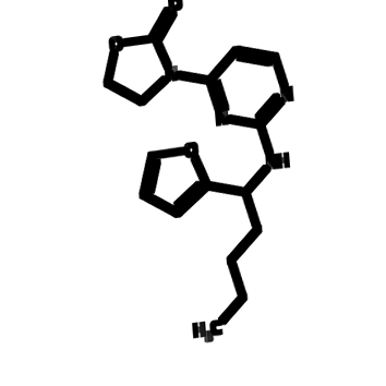 CCCCC(Nc1nccc(N2CCOC2=O)n1)c1ccco1